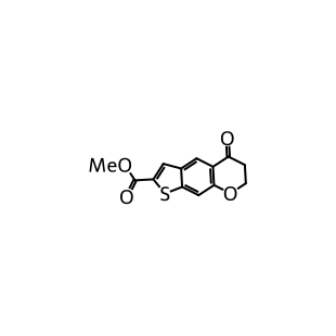 COC(=O)c1cc2cc3c(cc2s1)OCCC3=O